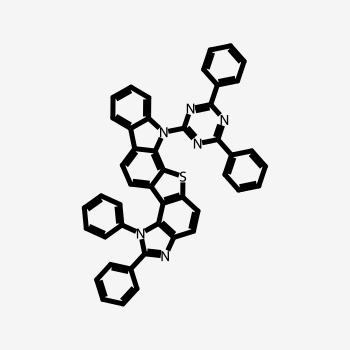 c1ccc(-c2nc(-c3ccccc3)nc(-n3c4ccccc4c4ccc5c(sc6ccc7nc(-c8ccccc8)n(-c8ccccc8)c7c65)c43)n2)cc1